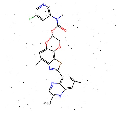 COc1cnc2c(-c3nc4c(C)cc5c(c4s3)OC[C@@H](OC(=O)N(C)c3cncc(F)c3)O5)cc(C)cc2n1